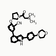 CN(C)CC(=O)N1CC[C@@H](Oc2ccc(-c3cccc4[nH]c(-c5ccc(N6CCOCC6)cc5)cc34)cc2C#N)C1